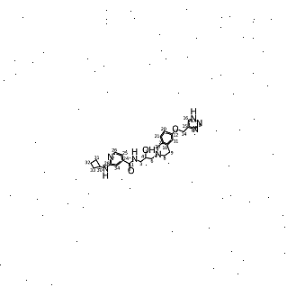 O=C(NCC(O)CN1CCc2cc(OCc3c[nH]nn3)ccc2C1)c1ccnc(NC2CCC2)c1